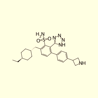 CC[C@H]1CC[C@H](Cc2ccc(-c3ccc(C4CNC4)cc3)c(-c3nnn[nH]3)c2S(N)(=O)=O)CC1